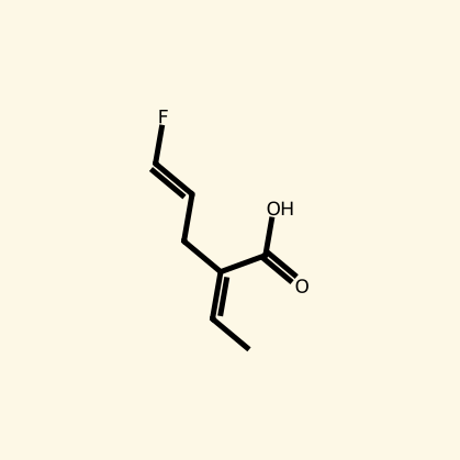 CC=C(CC=CF)C(=O)O